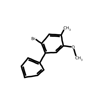 COc1cc(-c2ccccc2)c(Br)cc1C